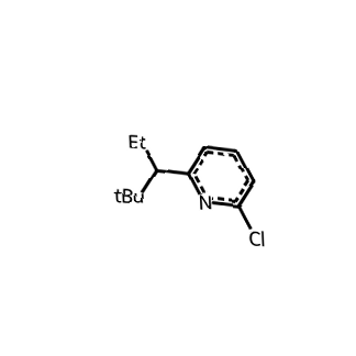 CCC(c1cccc(Cl)n1)C(C)(C)C